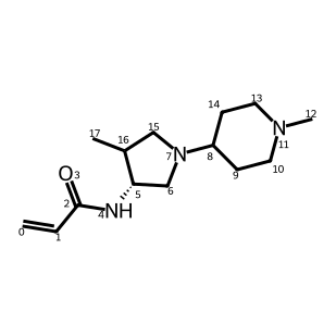 C=CC(=O)N[C@H]1CN(C2CCN(C)CC2)CC1C